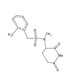 Cc1ccccc1CS(=O)(=O)N(C)C1CCC(=O)NC1=O